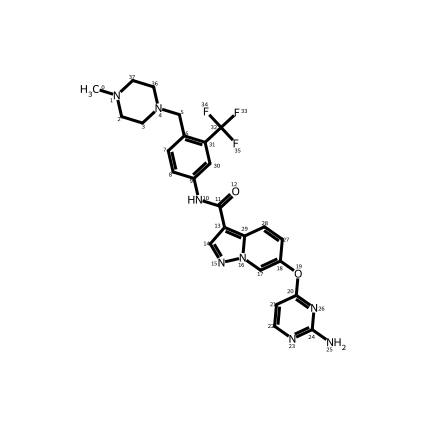 CN1CCN(Cc2ccc(NC(=O)c3cnn4cc(Oc5ccnc(N)n5)ccc34)cc2C(F)(F)F)CC1